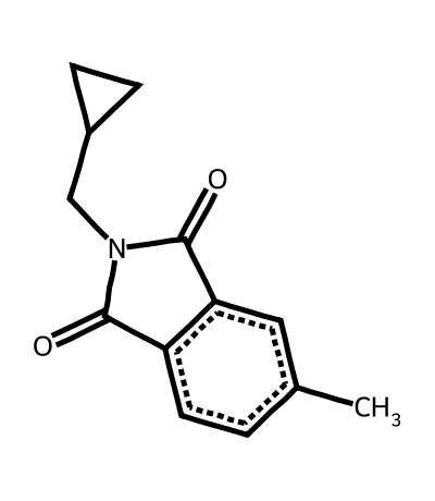 Cc1ccc2c(c1)C(=O)N(CC1CC1)C2=O